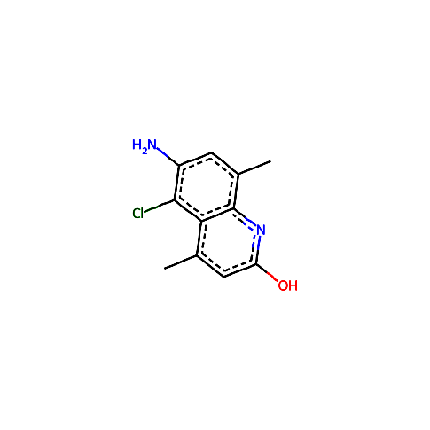 Cc1cc(N)c(Cl)c2c(C)cc(O)nc12